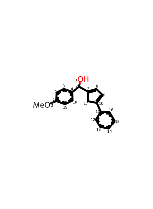 COc1ccc(C(O)C2=CC=C(c3ccccc3)C2)cc1